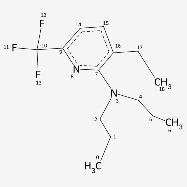 CCCN(CCC)c1nc(C(F)(F)F)ccc1CC